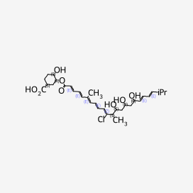 CC(/C=C/C=C/C(=O)O[C@@H]1C[C@@H](C(=O)O)CC[C@@H]1O)=C\C=C\C=C(/Cl)[C@@H](C)[C@@H](O)C[C@H](O)C[C@@H](O)/C=C/C=C/C(C)C